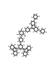 Cc1nc(C)c(-c2ccc(-n3c4ccc(-c5ccccc5)cc4c4cc(-c5ccccc5)ccc43)cc2)c(C)c1-c1ccc(-c2cc(-n3c4ccccc4c4ccccc43)cc(-n3c4ccccc4c4ccccc43)c2)cc1